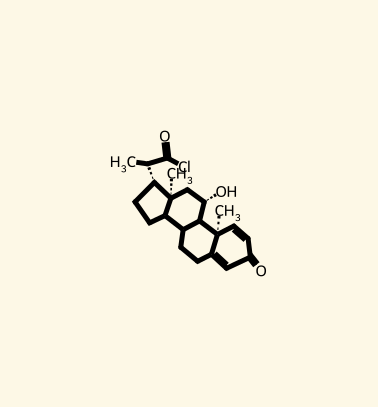 CC(C(=O)Cl)[C@H]1CCC2C3CCC4=CC(=O)C=C[C@]4(C)C3[C@@H](O)C[C@@]21C